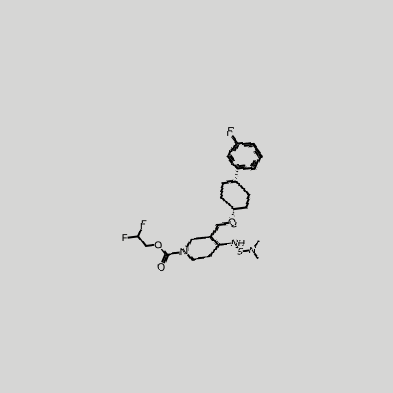 CN(C)SNC1CCN(C(=O)OCC(F)F)CC1CO[C@H]1CC[C@@H](c2cccc(F)c2)CC1